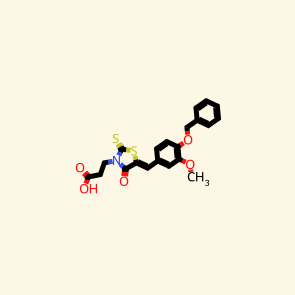 COc1cc(/C=C2\SC(=S)N(CCC(=O)O)C2=O)ccc1OCc1ccccc1